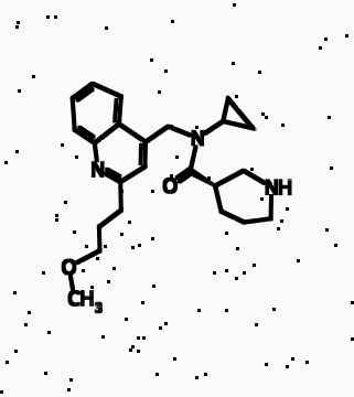 COCCCc1cc(CN(C(=O)[C@@H]2CCCNC2)C2CC2)c2ccccc2n1